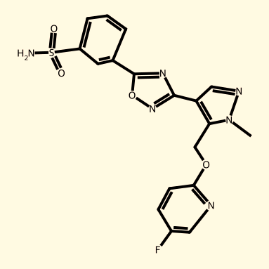 Cn1ncc(-c2noc(-c3cccc(S(N)(=O)=O)c3)n2)c1COc1ccc(F)cn1